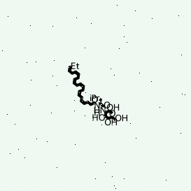 CC/C=C\C/C=C\C/C=C\C/C=C\C/C=C\C/C=C\CCC(=O)N[C@@H](CC(C)C)C(=O)NC1C(O)OC(CO)C(O)C1O